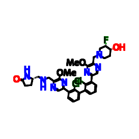 COc1nc(-c2cccc(-c3cccc(-c4cnc(CN5CC[C@@H](O)[C@@H](F)C5)c(OC)n4)c3Cl)c2Cl)cnc1CNC[C@@H]1CCC(=O)N1